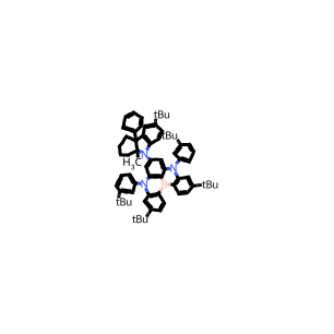 CC(C)(C)c1cccc(N2c3cc(C(C)(C)C)ccc3B3c4ccc(C(C)(C)C)cc4N(c4cccc(C(C)(C)C)c4)c4cc(N5c6ccc(C(C)(C)C)cc6C6(c7ccccc7)CCCCC56C)cc2c43)c1